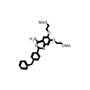 COCCOc1cc2nc(-c3ccc(Cc4ccccc4)cc3)nc(N)c2cc1OCCOC